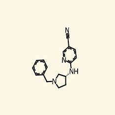 N#Cc1ccc(N[C@@H]2CCN(Cc3ccccc3)C2)nc1